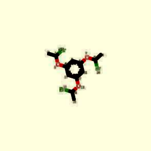 CC(Br)Oc1cc(OC(C)Br)cc(OC(C)Br)c1